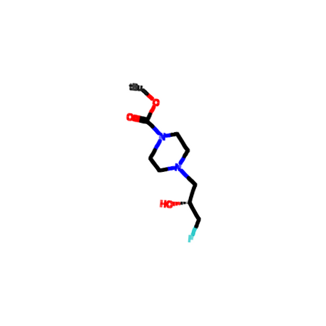 CC(C)(C)OC(=O)N1CCN(C[C@@H](O)CF)CC1